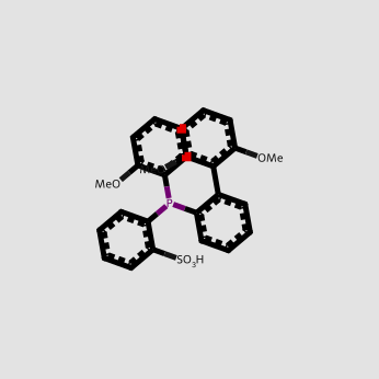 COc1ccccc1P(c1ccccc1-c1c(OC)cccc1OC)c1ccccc1S(=O)(=O)O